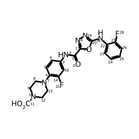 O=C(Nc1ccc(N2CCN(C(=O)O)CC2)c(F)c1)c1nnc(Nc2ccccc2F)o1